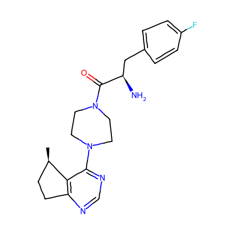 C[C@@H]1CCc2ncnc(N3CCN(C(=O)[C@H](N)Cc4ccc(F)cc4)CC3)c21